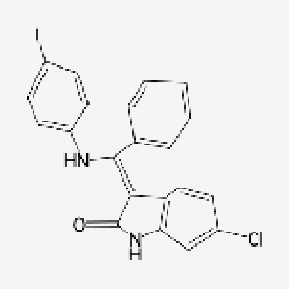 O=C1Nc2cc(Cl)ccc2/C1=C(/Nc1ccc(I)cc1)c1ccccc1